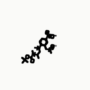 CC(CN(C)c1ccc([N+](=O)[O-])cc1C[S+](C)[O-])N(C)C(=O)OC(C)(C)C